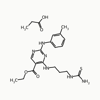 CCC(=O)O.CCOC(=O)c1cnc(Nc2cccc(C)c2)nc1NCCCNC(N)=S